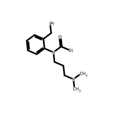 CCC(=O)N(CCCN(C)C)c1ccccc1CC(C)C